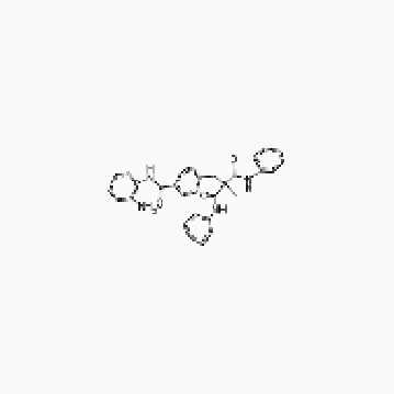 CC(Cc1ccc(C(=O)Nc2ccccc2N)cc1)(C(=O)Nc1ccccc1)C(=O)Nc1ccccc1